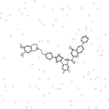 COc1cc2c(cc1OC)CN(CCc1ccc(-n3nnc(-c4cc(C)c(C)cc4NC(=O)c4cc(=O)c5cc(-c6ccncc6)ccc5o4)n3)cc1)CC2